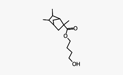 CC1C2CC(C1C)C(C)(C(=O)OCCCCO)C2